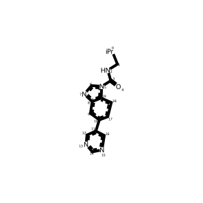 CC(C)CNC(=O)n1cnc2cc(-c3cncnc3)ccc21